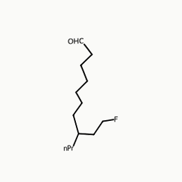 CCCC(CCF)CCCCCCC=O